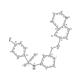 O=S(=O)(Nc1cccc(COc2ccc3ncccc3c2)c1)c1ccc(F)cc1